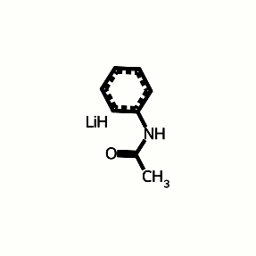 CC(=O)Nc1ccccc1.[LiH]